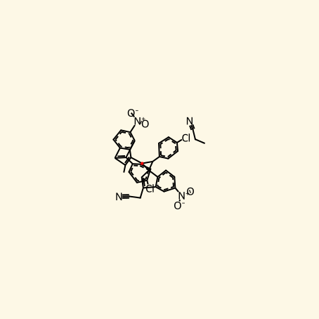 CC1=C(C2C(c3ccc(Cl)cc3)C23C=C(CC#N)c2cc([N+](=O)[O-])ccc23)c2c3ccc([N+](=O)[O-])c2C(c2ccc(Cl)cc2)=C13.CCC#N